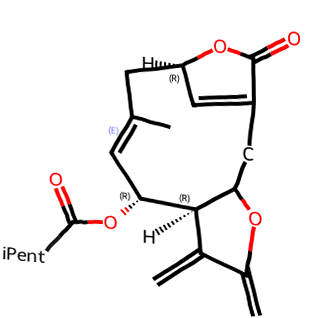 C=C1OC2CC3=C[C@@H](C/C(C)=C/[C@@H](OC(=O)C(C)CCC)[C@@H]2C1=C)OC3=O